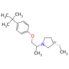 CC[C@H]1CCN(C(C)COc2ccc(C(C)(C)C)cc2)C1